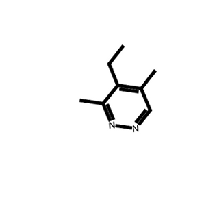 CCc1c(C)cnnc1C